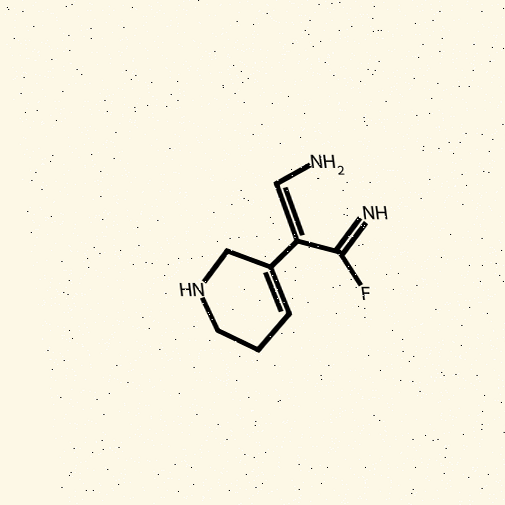 N=C(F)/C(=C\N)C1=CCCNC1